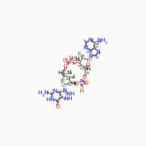 Nc1nc2c(c(=O)[nH]1)NNN2[C@@H]1S[C@@H]2COP(=O)(S)O[C@H]3C(F)[C@H](n4cnc5c(N)ncnc54)O[C@@H]3COP(=O)(S)O[C@@H]1[C@@H]2F